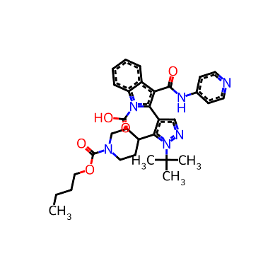 CCCCOC(=O)N1CCC(c2c(-c3c(C(=O)Nc4ccncc4)c4ccccc4n3C(=O)O)cnn2C(C)(C)C)CC1